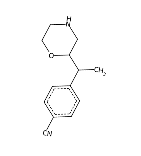 CC(c1ccc(C#N)cc1)C1CNCCO1